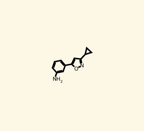 Nc1cccc(-c2cc(C3CC3)no2)c1